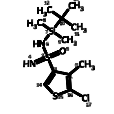 Cc1c(S(=N)(=O)N[Si](C)(C)C(C)(C)C)csc1Cl